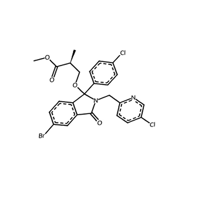 COC(=O)[C@@H](C)COC1(c2ccc(Cl)cc2)c2ccc(Br)cc2C(=O)N1Cc1ccc(Cl)cn1